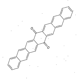 O=C1c2cc3cc4ccccc4cc3cc2C(=O)c2cc3cc4ccccc4cc3cc21